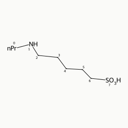 CCCNCCCCCS(=O)(=O)O